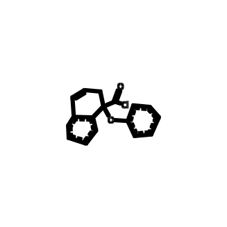 O=C(Cl)C1(Oc2ccccc2)CC=Cc2ccccc21